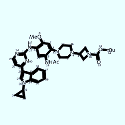 COc1cc(N2CCN(C3CN(C(=O)OC(C)(C)C)C3)CC2)c(NC(C)=O)cc1Nc1nccc(-c2cn(C3CC3)c3ccccc23)n1